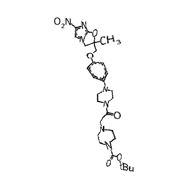 CC(C)(C)OC(=O)N1CCN(CC(=O)N2CCN(c3ccc(OCC4(C)Cn5cc([N+](=O)[O-])nc5O4)cc3)CC2)CC1